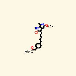 CCCOc1cc2c(c(C)n1)NC(=O)C2CCCCCC1CCC(CC(=O)OC)CC1